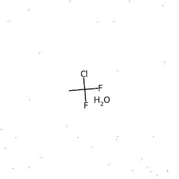 CC(F)(F)Cl.O